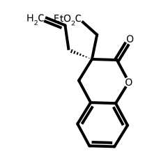 C=CC[C@@]1(CC(=O)OCC)Cc2ccccc2OC1=O